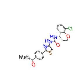 CNC(=O)c1ccc(-c2nc(NC(=O)N[C@H]3CCOc4c(Cl)cccc43)cs2)cc1